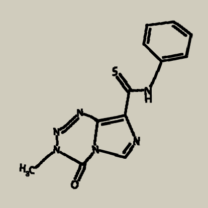 Cn1nnc2c(C(=S)Nc3ccccc3)ncn2c1=O